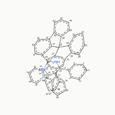 c1ccc(C2NC(c3cccc4c3C3(c5ccccc5-c5cc6c7ccccc7c7ccccc7c6cc53)c3ccccc3-4)Nc3ccccc32)cc1